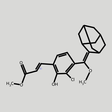 COC(=O)/C=C/c1ccc(C(OC)=C2C3CC4CC(C3)CC2C4)c(Cl)c1O